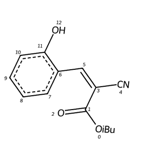 CC(C)COC(=O)C(C#N)=Cc1ccccc1O